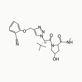 CNC(=O)C1CC(O)CN1C(=O)[C@@H](n1cc(COc2ccccc2C#N)nn1)C(C)(C)C